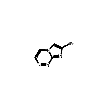 CC(C)c1cn2ccnnc2n1